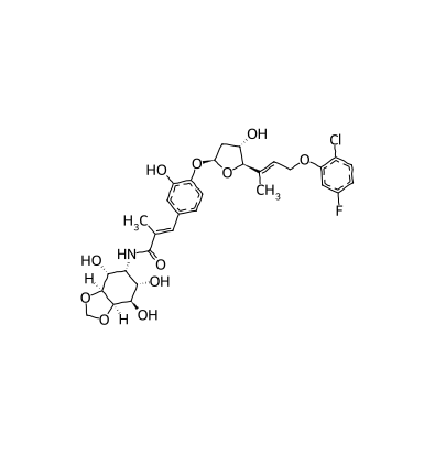 C/C(=C\c1ccc(O[C@H]2C[C@H](O)[C@@H](/C(C)=C/COc3cc(F)ccc3Cl)O2)c(O)c1)C(=O)N[C@@H]1[C@H](O)[C@@H](O)[C@H]2OCO[C@H]2[C@@H]1O